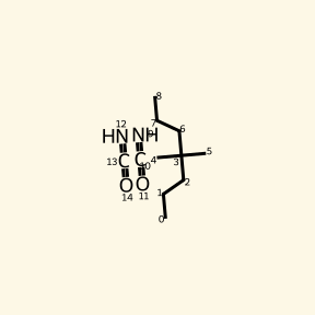 CCCC(C)(C)CCC.N=C=O.N=C=O